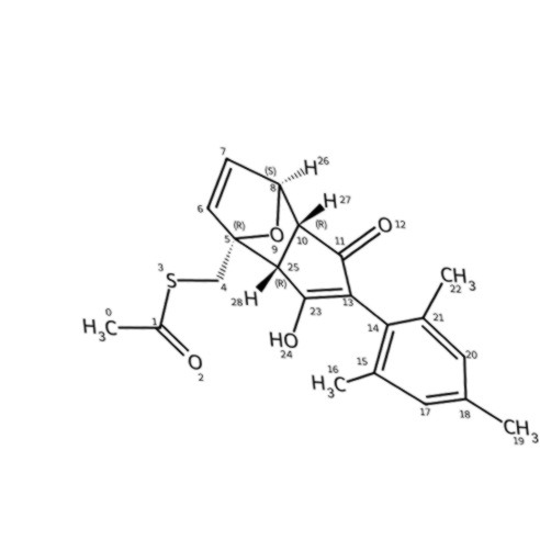 CC(=O)SC[C@]12C=C[C@H](O1)[C@@H]1C(=O)C(c3c(C)cc(C)cc3C)=C(O)[C@@H]12